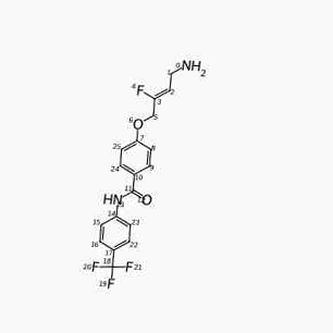 NCC=C(F)COc1ccc(C(=O)Nc2ccc(C(F)(F)F)cc2)cc1